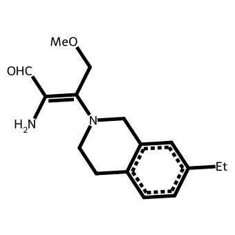 CCc1ccc2c(c1)CN(/C(COC)=C(\N)C=O)CC2